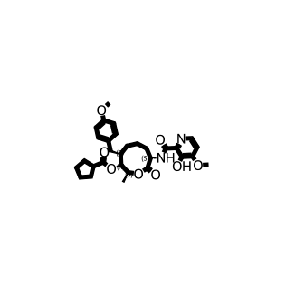 COc1ccc(C[C@H]2CCC[C@H](NC(=O)c3nccc(OC)c3O)C(=O)O[C@@H](C)[C@@H]2OC(=O)C2CCCC2)cc1